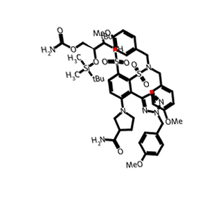 COc1ccc(CN(Cc2ccc(OC)cc2)S(=O)(=O)c2c(S(=O)(=O)NC([C@H](COC(N)=O)O[Si](C)(C)C(C)(C)C)C(C)(C)C)ccc(N3CCC(C(N)=O)C3)c2-c2nnn(Cc3ccc(OC)cc3)n2)cc1